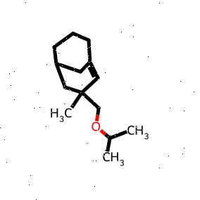 CC(C)OCC1(C)C=C2CCCC(C2)C1